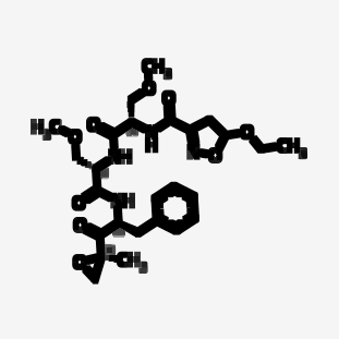 CCOC1CC(C(=O)N[C@@H](COC)C(=O)N[C@@H](COC)C(=O)N[C@@H](Cc2ccccc2)C(=O)[C@@]2(C)CO2)=NO1